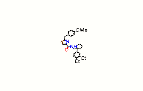 CCc1ccc(C2(CNC(=O)c3csc(Cc4ccc(OC)cc4)n3)CCCC2)cc1CC